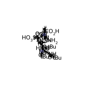 Cc1nn(C[C@@H]2[C@H](NC(=O)/C(=N\OC3(C(=O)O)CC3)c3csc(N)n3)C(=O)N2S(=O)(=O)O)nc1CN/C(=N/C(=O)OC(C)(C)C)N(CCCNC(=O)OC(C)(C)C)C(=O)OC(C)(C)C